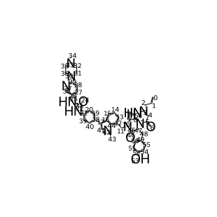 C=CCN1CC(=O)N2[C@H](CN(Cc3cccc4c(-c5ccc(NC(=O)Nc6ccc(N7CCN(C)CC7)nc6)cc5)cn(C)c34)C(=O)[C@@H]2Cc2ccc(O)cc2)N1